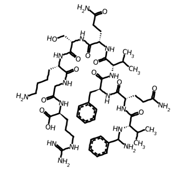 CC(C)[C@H](NC(=O)[C@H](Cc1ccccc1)NC(=O)[C@H](CCC(N)=O)NC(=O)[C@@H](NC(N)c1ccccc1)C(C)C)C(=O)N[C@@H](CCC(N)=O)C(=O)N[C@@H](CO)C(=O)N[C@@H](CCCCN)C(=O)NCC(=O)N[C@@H](CCCNC(=N)N)C(=O)O